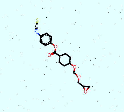 O=C(Oc1ccc(N=C=S)cc1)C1CCC(OCOCC2CO2)CC1